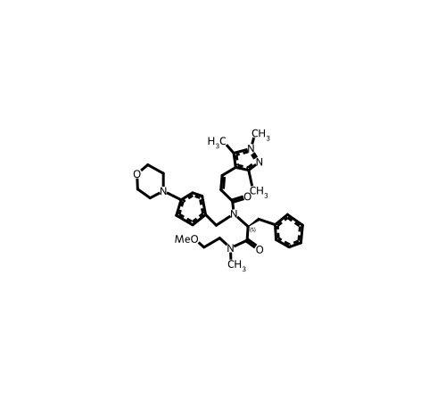 COCCN(C)C(=O)[C@H](Cc1ccccc1)N(Cc1ccc(N2CCOCC2)cc1)C(=O)C=Cc1c(C)nn(C)c1C